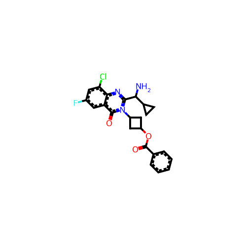 NC(c1nc2c(Cl)cc(F)cc2c(=O)n1C1CC(OC(=O)c2ccccc2)C1)C1CC1